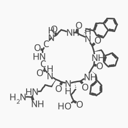 N=C(N)NCCC[C@H]1NC(=O)CNC(=O)CNC(=O)CNC(=O)[C@H](Cc2ccc3ccccc3c2)NC(=O)[C@@H](Cc2ccccc2)NC(=O)[C@H](Cc2ccccc2)NC(=O)[C@H](CCC(=O)O)NC1=O